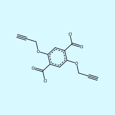 C#CCOc1cc(C(=O)Cl)c(OCC#C)cc1C(=O)Cl